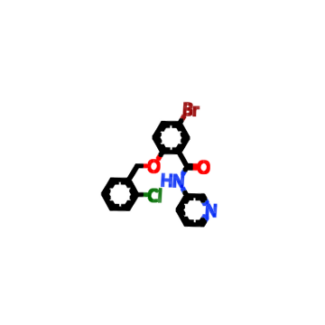 O=C(Nc1cccnc1)c1cc(Br)ccc1OCc1ccccc1Cl